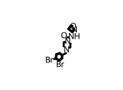 O=C(Nc1ccon1)N1CCN(Cc2ccc(Br)c(Br)c2)CC1